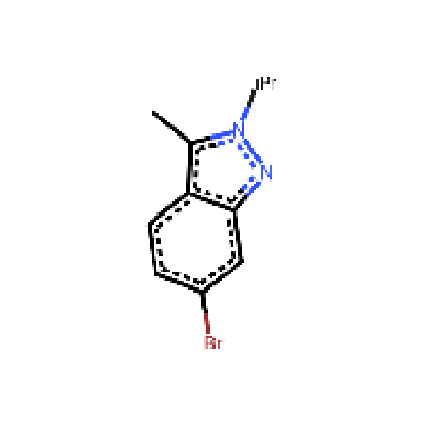 Cc1c2ccc(Br)cc2nn1C(C)C